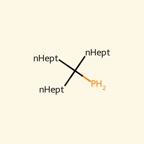 CCCCCCCC(P)(CCCCCCC)CCCCCCC